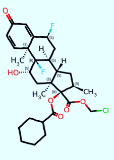 C[C@@H]1C[C@H]2[C@@H]3C[C@H](F)C4=CC(=O)C=C[C@]4(C)[C@@]3(F)[C@@H](O)C[C@]2(C)[C@@]1(OC(=O)C1CCCCC1)C(=O)OCCl